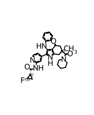 C[C@@]1(C(=O)N2CCCCC2)CC(=O)c2c([nH]c(-c3ccnc(NC(=O)[C@@H]4C[C@@H]4F)c3)c2Nc2ccccc2)C1